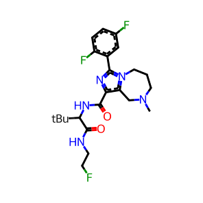 CN1CCCn2c(-c3cc(F)ccc3F)nc(C(=O)NC(C(=O)NCCF)C(C)(C)C)c2C1